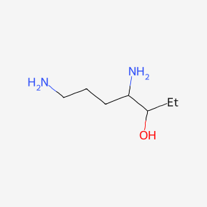 CCC(O)C(N)CCCN